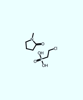 CN1CCCC1=O.O=P(O)(O)CCCl